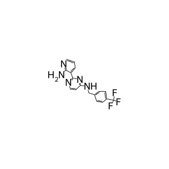 Nc1ncccc1-c1nccc(NCc2ccc(C(F)(F)F)cc2)n1